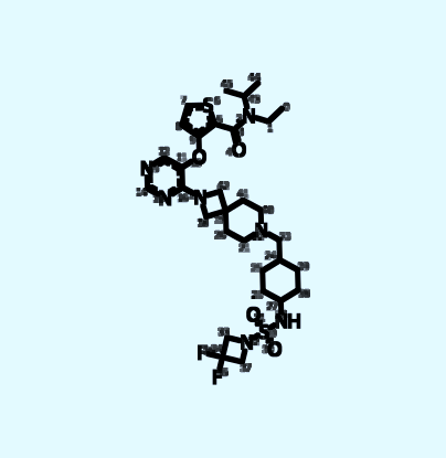 CCN(C(=O)c1sccc1Oc1cncnc1N1CC2(CCN(CC3CCC(NS(=O)(=O)N4CC(F)(F)C4)CC3)CC2)C1)C(C)C